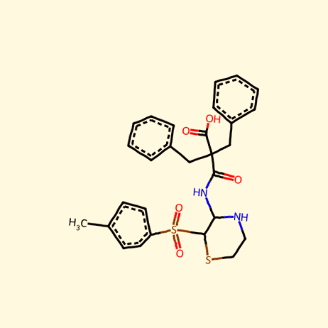 Cc1ccc(S(=O)(=O)C2SCCNC2NC(=O)C(Cc2ccccc2)(Cc2ccccc2)C(=O)O)cc1